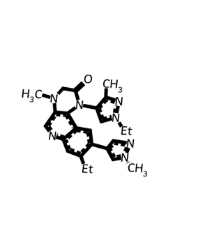 CCc1cc2ncc3c(c2cc1-c1cnn(C)c1)N(c1cn(CC)nc1C)C(=O)CN3C